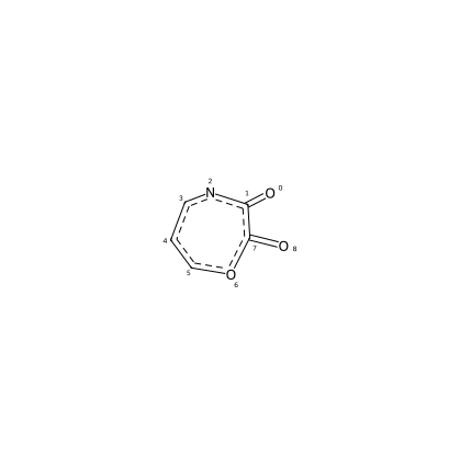 O=c1ncccoc1=O